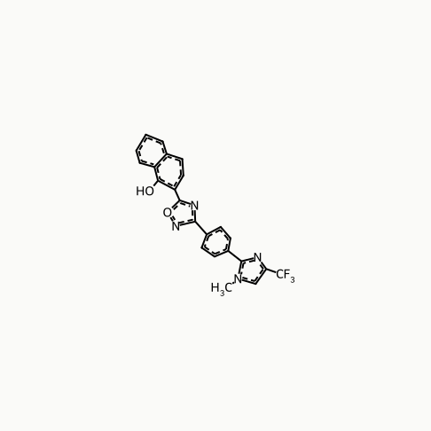 Cn1cc(C(F)(F)F)nc1-c1ccc(-c2noc(-c3ccc4ccccc4c3O)n2)cc1